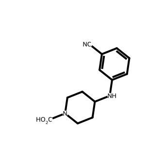 N#Cc1cccc(NC2CCN(C(=O)O)CC2)c1